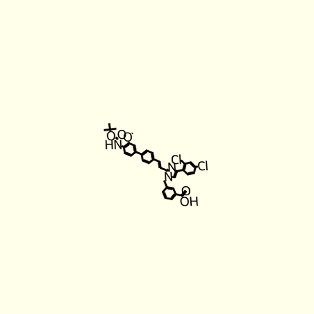 COc1cc(-c2ccc(C=Cc3nc(-c4ccc(Cl)cc4Cl)cn3Cc3cccc(C(=O)O)c3)cc2)ccc1NC(=O)OC(C)(C)C